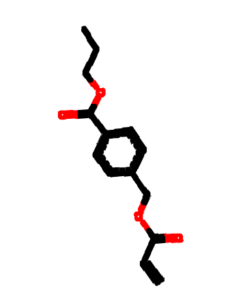 C=CC(=O)OCc1ccc(C(=O)OCCC)cc1